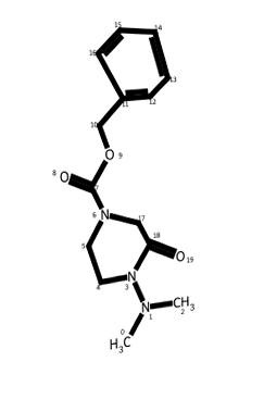 CN(C)N1CCN(C(=O)OCc2ccccc2)CC1=O